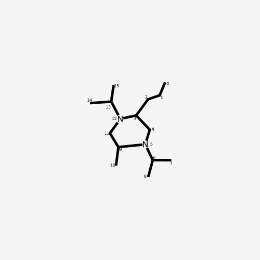 CCCC1CN(C(C)C)C(C)CN1C(C)C